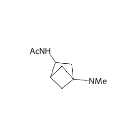 CNC12CC(C1)C(NC(C)=O)C2